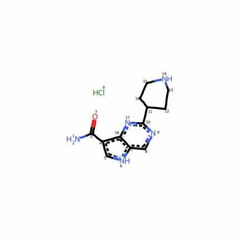 Cl.NC(=O)c1c[nH]c2cnc(C3CCNCC3)nc12